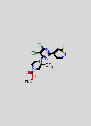 CC(C)(C)OC(=O)N1CCN(c2nc(-c3ccnc(F)c3)nc(Cl)c2Cl)C(C(F)(F)F)C1